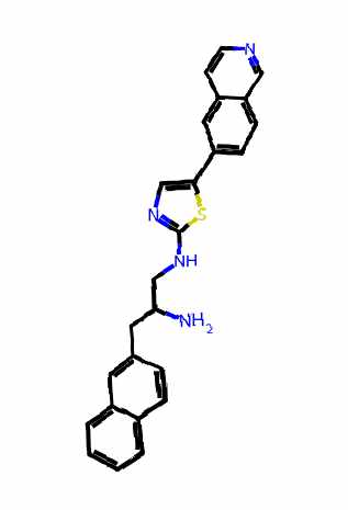 NC(CNc1ncc(-c2ccc3cnccc3c2)s1)Cc1ccc2ccccc2c1